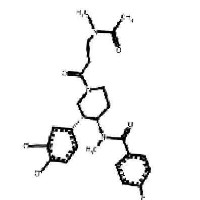 CC(=O)N(C)CCC(=O)N1CC[C@@H](N(C)C(=O)c2ccc(Cl)cc2)[C@H](c2ccc(Cl)c(Cl)c2)C1